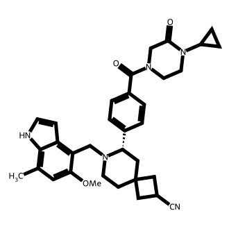 COc1cc(C)c2[nH]ccc2c1CN1CCC2(CC(C#N)C2)C[C@H]1c1ccc(C(=O)N2CCN(C3CC3)C(=O)C2)cc1